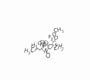 CCCCC1CN(c2ccccc2)c2cc(SC)c(C3(/C=C(/F)C(=O)OCC)CC3)cc2S(=O)(=O)N1C